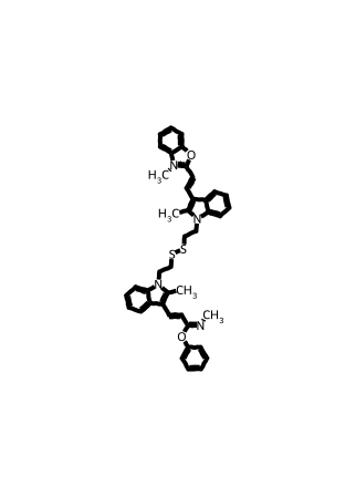 C/N=C(\C=C\c1c(C)n(CCSSCCn2c(C)c(/C=C/c3oc4ccccc4[n+]3C)c3ccccc32)c2ccccc12)Oc1ccccc1